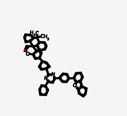 CC1(C)c2ccccc2C2(c3ccccc3Oc3cc(-c4ccc(-c5nc(-c6ccccc6)cc(-c6ccc(-c7cccc8c7oc7ccccc78)cc6)n5)cc4)ccc32)c2ccccc21